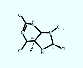 CN1C2NC(Cl)=NC(Cl)[C@@H]2N[C@@H]1Cl